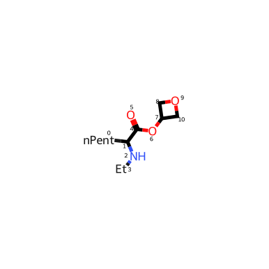 CCCCCC(NCC)C(=O)OC1COC1